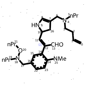 C=CCCN(CCC)CC1=CNC(/C=C(\C=O)c2cc(CN(CCC)OCCC)ccc2NC)C1